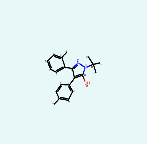 Cc1ccc(-c2c(-c3ccccc3C)nn(C(C)(C)C)c2O)cc1